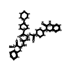 COC(=O)[C@H](Cc1ccccc1)NC(=O)N[C@@H](CC(=O)N1CCC(N2Cc3ccccc3NC2=O)CC1)C(=O)N1CCC(N2CCCCC2)CC1